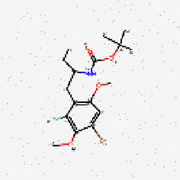 CCC(Cc1c(OC)cc(Br)c(OC)c1F)NC(=O)OC(C)(C)C